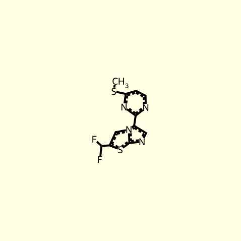 CSc1ccnc(-c2cnc3sc(C(F)F)cn23)n1